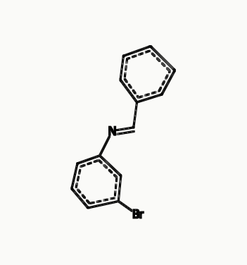 Brc1cccc(N=Cc2ccccc2)c1